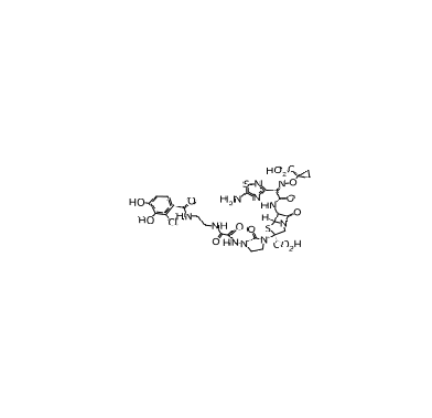 Nc1nc(/C(=N/OC2(C(=O)O)CC2)C(=O)NC2C(=O)N3C[C@@](C(=O)O)(N4CCN(NC(=O)C(=O)NCCNC(=O)c5ccc(O)c(O)c5Cl)C4=O)S[C@H]23)ns1